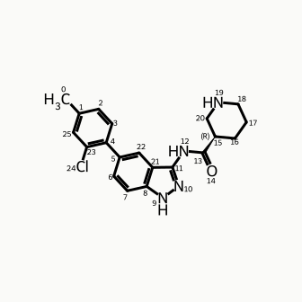 Cc1ccc(-c2ccc3[nH]nc(NC(=O)[C@@H]4CCCNC4)c3c2)c(Cl)c1